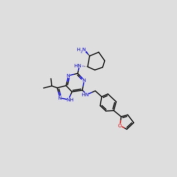 CC(C)c1n[nH]c2c(NCc3ccc(-c4ccco4)cc3)nc(N[C@H]3CCCC[C@@H]3N)nc12